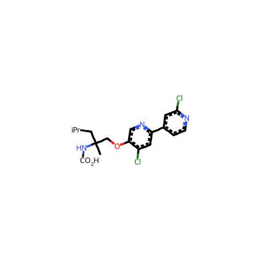 CC(C)CC(C)(COc1cnc(-c2ccnc(Cl)c2)cc1Cl)NC(=O)O